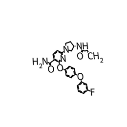 C=CC(=O)N[C@H]1CCN(c2ccc(C(N)=O)c(Oc3ccc(Oc4cccc(F)c4)cc3)n2)C1